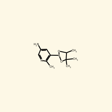 Cc1ncc(N)cc1B1OC(C)C(C)(C)O1